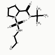 CC(C)(C)OC(=O)C1CCCN1S(=O)(=O)NCCCl